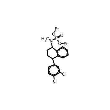 CCOP(=O)(OCC)N(C)C1CCC(c2ccc(Cl)c(Cl)c2)c2ccccc21